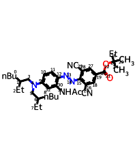 CCCCC(CC)CN(CC(CC)CCCC)c1ccc(N=Nc2c(C#N)cc(C(=O)OC(C)(C)CC)cc2C#N)c(NC(C)=O)c1